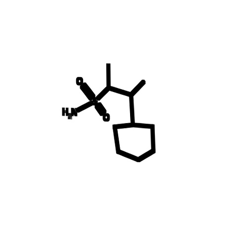 CC(C1CCCCC1)C(C)S(N)(=O)=O